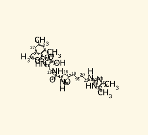 Cc1cc(C)c(S(=O)(=O)NC(CNC(=O)C2CC(CCCCNc3nc(C)c(C)[nH]3)ON2)C(=O)O)c(C)c1